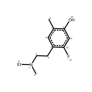 CCN(C)CCc1cc(C)c(O)cc1F